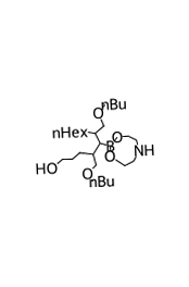 CCCCCCC(COCCCC)C(B1OCCNCCO1)C(CCCO)COCCCC